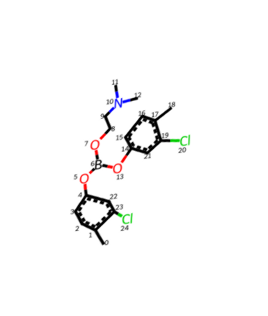 Cc1ccc(OB(OCCN(C)C)Oc2ccc(C)c(Cl)c2)cc1Cl